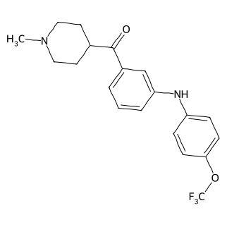 CN1CCC(C(=O)c2cccc(Nc3ccc(OC(F)(F)F)cc3)c2)CC1